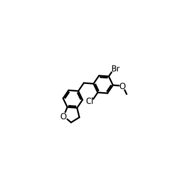 COc1cc(Cl)c(Cc2ccc3c(c2)CCO3)cc1Br